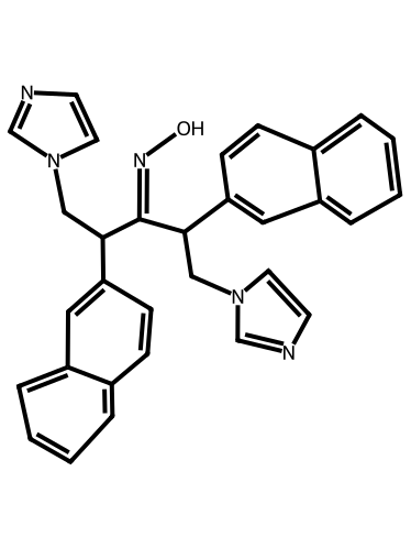 ON=C(C(Cn1ccnc1)c1ccc2ccccc2c1)C(Cn1ccnc1)c1ccc2ccccc2c1